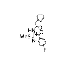 CSc1nc2cc(F)ccc2c(=O)n1NC(=O)Cc1ccccc1